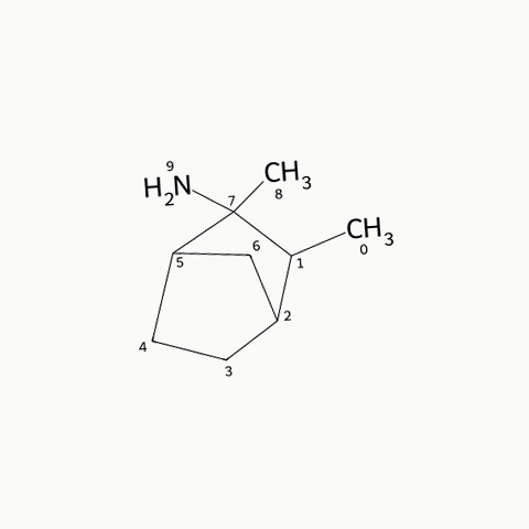 CC1C2CCC(C2)C1(C)N